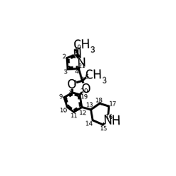 Cn1ccc(C2(C)Oc3cccc(C4CCNCC4)c3O2)n1